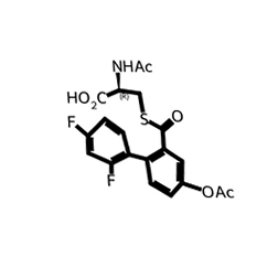 CC(=O)N[C@@H](CSC(=O)c1cc(OC(C)=O)ccc1-c1ccc(F)cc1F)C(=O)O